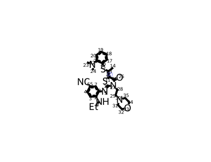 CCNc1ccc(C#N)cc1N=C1S/C(=C(/C)Sc2ccccc2N(C)C)C(=O)N1CCN1CCOCC1